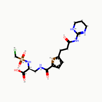 O=C(CCc1ccc(C(=O)NC[C@H](NS(=O)(=O)CCl)C(=O)O)s1)NC1=NCCCN1